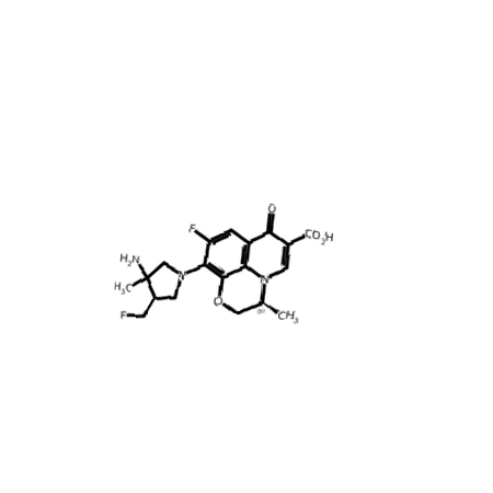 C[C@H]1COc2c(N3CC(CF)C(C)(N)C3)c(F)cc3c(=O)c(C(=O)O)cn1c23